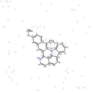 Cc1c2ccc(CC(C)(C)C)cc2cc2c3nccc4ccc5c6ccccc6n(c12)c5c43